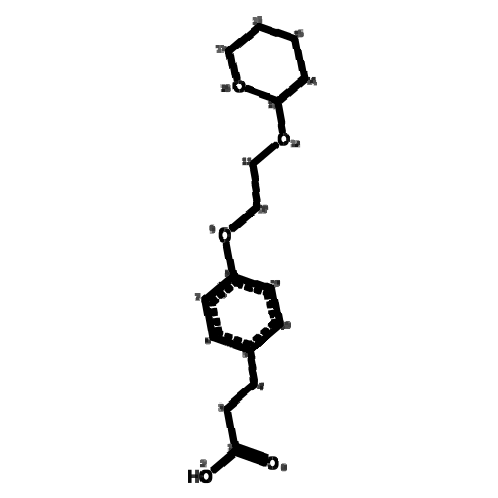 O=C(O)CCc1ccc(OCCOC2CCCCO2)cc1